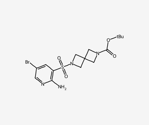 CC(C)(C)OC(=O)N1CC2(C1)CN(S(=O)(=O)c1cc(Br)cnc1N)C2